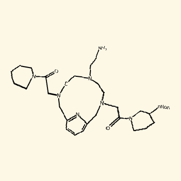 CCCCCCCCCC1CCCN(C(=O)CN2CCN(CCN)CCN(CC(=O)N3CCCCC3)Cc3cccc(n3)C2)C1